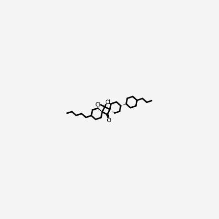 CCCCCC1CC[C@]2(CC1)C(=O)[C@@]1(CC[C@@H](C3CCC(CCC)CC3)CC1)C2(Cl)Cl